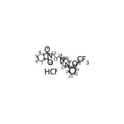 Cl.O=C1C2CC=CCC2C(=O)N1CCCN1CCN(c2ccccc2OCC(F)(F)F)CC1